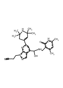 Cc1cc(C)c(CNC(O)c2cc(C3=CC(C)(C)NC(C)(C)C3)nc3c2cnn3CCC#N)c(=O)[nH]1